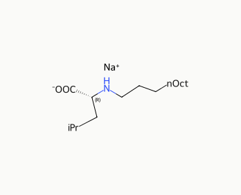 CCCCCCCCCCCN[C@H](CC(C)C)C(=O)[O-].[Na+]